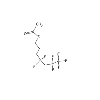 CC(=O)SCCCC(F)(F)CC(F)(F)C(F)(F)F